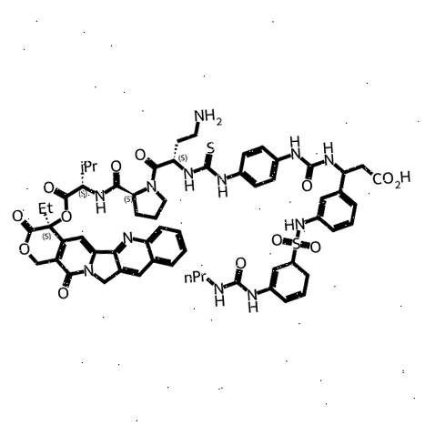 CCCNC(=O)NC1=CC(S(=O)(=O)Nc2cccc(C(CC(=O)O)NC(=O)Nc3ccc(NC(=S)N[C@@H](CCN)C(=O)N4CCC[C@H]4C(=O)N[C@H](C(=O)O[C@]4(CC)C(=O)OCc5c4cc4n(c5=O)Cc5cc6ccccc6nc5-4)C(C)C)cc3)c2)CC=C1